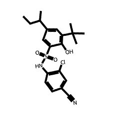 CCC(C)c1cc(C(C)(C)C)c(O)c(S(=O)(=O)Nc2ccc(C#N)cc2Cl)c1